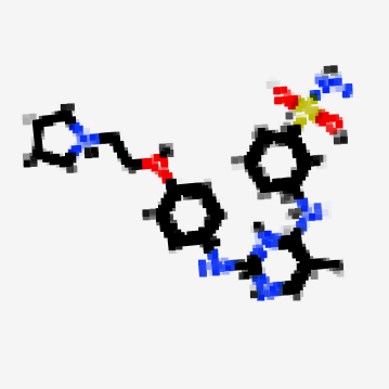 Cc1cnc(Nc2ccc(OCCN3CCCC3)cc2)nc1Nc1cccc(S(N)(=O)=O)c1